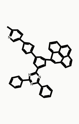 Cc1ccc(-c2ccc(-c3cc(-c4nc(-c5ccccc5)nc(-c5ccccc5)n4)cc(-c4cc5cccc6ccc7cccc4c7c65)c3)cc2)cn1